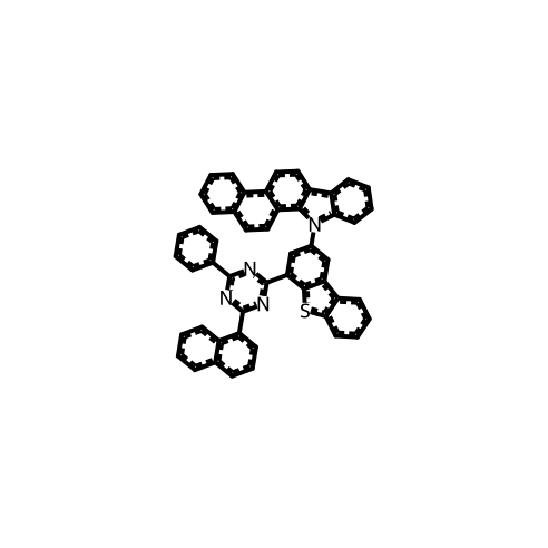 c1ccc(-c2nc(-c3cccc4ccccc34)nc(-c3cc(-n4c5ccccc5c5ccc6c7ccccc7ccc6c54)cc4c3sc3ccccc34)n2)cc1